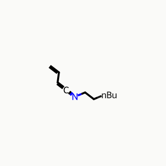 C=CC=C=NCCCCCC